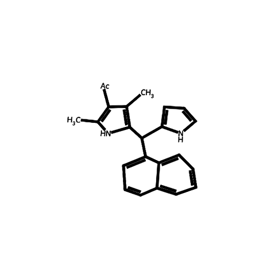 CC(=O)c1c(C)[nH]c(C(c2ccc[nH]2)c2cccc3ccccc23)c1C